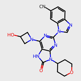 [C-]#[N+]c1ccc2ncn(-c3nc(N4CC(O)C4)c4[nH]c(=O)n(C5CCOCC5)c4n3)c2c1